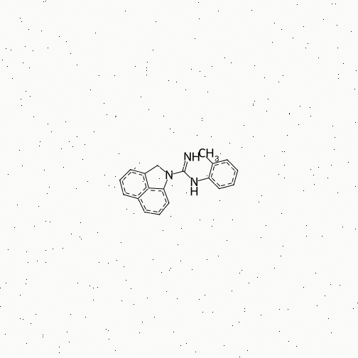 Cc1ccccc1NC(=N)N1Cc2cccc3cccc1c23